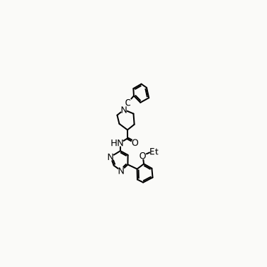 CCOc1ccccc1-c1cc(NC(=O)C2CCN(Cc3ccccc3)CC2)ncn1